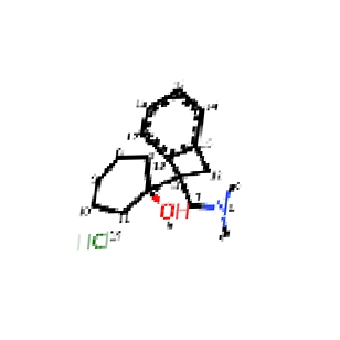 CN(C)CC1(C2(O)CCCCC2)Cc2ccccc21.Cl